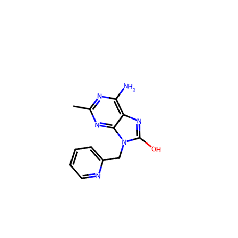 Cc1nc(N)c2nc(O)n(Cc3ccccn3)c2n1